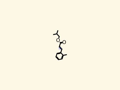 Cc1ccccc1/C=C/C(=O)OCC(C)C